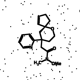 CON(C)C(=O)CC1(c2ccccn2)CCO[C@@]2(C=CCC2)C1